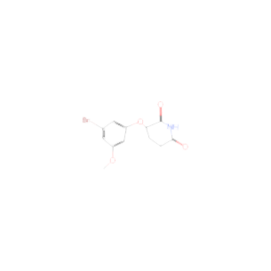 COc1cc(Br)cc(OC2CCC(=O)NC2=O)c1